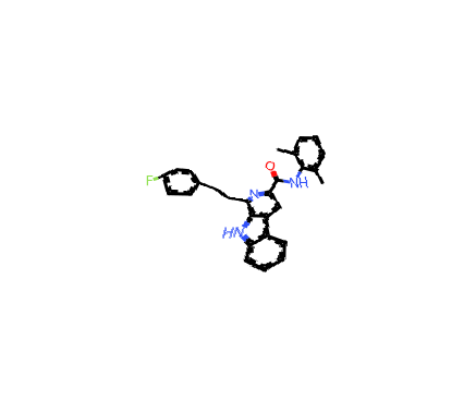 Cc1cccc(C)c1NC(=O)c1cc2c([nH]c3ccccc32)c(CCc2ccc(F)cc2)n1